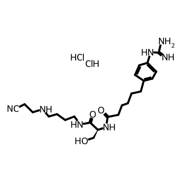 Cl.Cl.N#CCCNCCCCNC(=O)[C@H](CO)NC(=O)CCCCCc1ccc(NC(=N)N)cc1